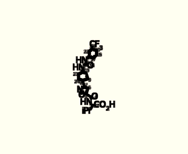 CC(C)C(NC(=O)c1cc(-c2ccc(NC(=O)Nc3cccc(C(F)(F)F)c3)cc2)no1)C(=O)O